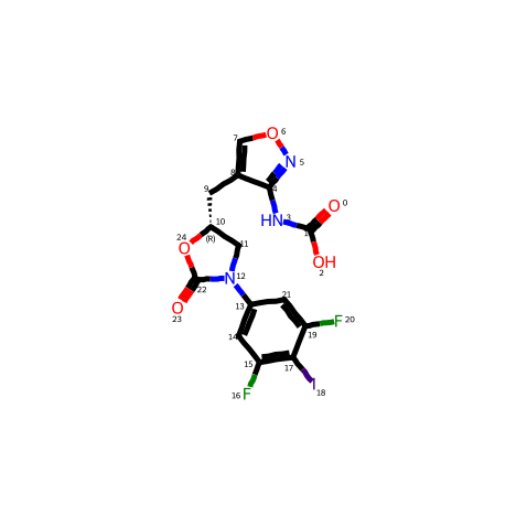 O=C(O)Nc1nocc1C[C@@H]1CN(c2cc(F)c(I)c(F)c2)C(=O)O1